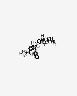 CNC(=N)c1ccc2cc(C(=O)N[C@H]3CC[C@H](NC(=O)OC(C)(C)C)CC3)n(Cc3ccc4ccccc4c3)c2c1